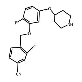 N#Cc1ccc(COc2cc(OC3CCNCC3)ccc2F)c(F)c1